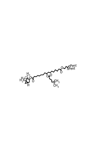 CCCCCC(CCCCC)CCOC(=O)CCCCCCCC(CCCCCCCC(=O)O[C@H]1C[C@H]2CC2(C)C1(C)C)OC(=O)CCCN(C)C